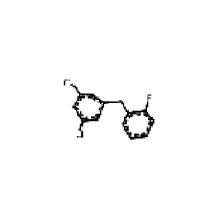 Fc1ccccc1Cc1cc(Cl)[c]c(Cl)c1